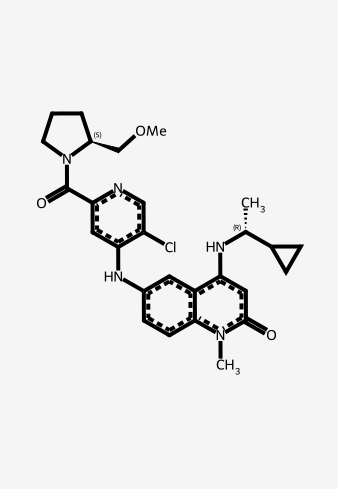 COC[C@@H]1CCCN1C(=O)c1cc(Nc2ccc3c(c2)c(N[C@H](C)C2CC2)cc(=O)n3C)c(Cl)cn1